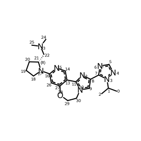 CC(C)n1ncnc1-c1cn2c(n1)-c1cnc(N3CCC[C@@H]3CN(C)C)cc1OCC2